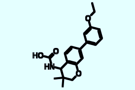 CCOc1cccc(-c2ccc3c(c2)OCC(C)(C)C3NC(=O)O)c1